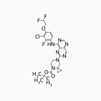 CC(C)(C)OC(=O)N1CCN(c2ncc3ncnc(Nc4ccc(OCC(F)F)c(Cl)c4F)c3n2)CC12CC2